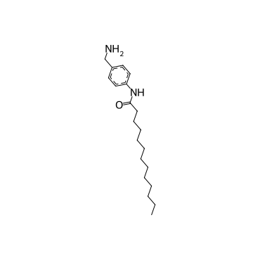 CCCCCCCCCCCCC(=O)Nc1ccc(CN)cc1